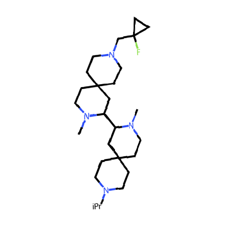 CC(C)N1CCC2(CCN(C)C(C3CC4(CCN(CC5(F)CC5)CC4)CCN3C)C2)CC1